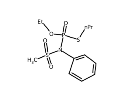 CCCSP(=O)(OCC)N(c1ccccc1)S(C)(=O)=O